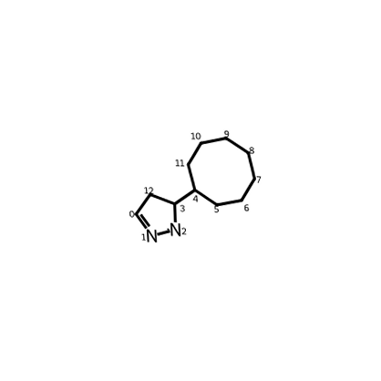 C1=N[N]C(C2CCCCCCC2)C1